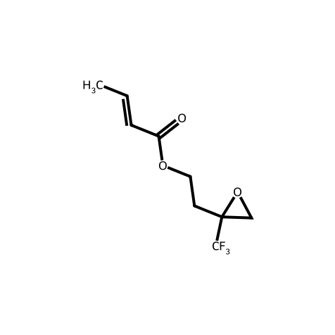 CC=CC(=O)OCCC1(C(F)(F)F)CO1